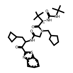 CC(C)(C)NC(=O)N[C@H](C(=O)N(CC(=O)NC(CC1CCC1)C(=O)c1nc2ccccc2s1)CC1CCCC1)C(C)(C)C